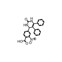 O=C1NC(c2ccccc2)=C(c2ccccc2)C(c2ccc(C(=O)O)c([N+](=O)[O-])c2)N1